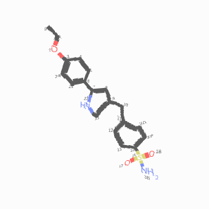 CCOc1ccc(-c2cc(Cc3ccc(S(N)(=O)=O)cc3)c[nH]2)cc1